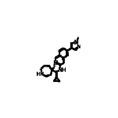 Cn1cc(-c2ccc3cnc(NC(=C4CC4)C4(F)CCCNCC4)cc3c2)cn1